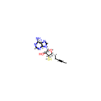 CC#CCC[C@H]1O[C@@H](n2cnc3c(N)ncnc32)[C@H](O)[C@@H]1S